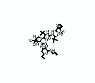 C=CCNC(=O)C(=O)C(CCCC)NC(=O)[C@@H]1[C@@H]2[C@H](CN1C(=O)[C@@H](NC(=O)N[C@H](CN1Cc3sccc3S1(=O)=O)C(C)(C)C)C(C)(C)C)C2(Cl)Cl